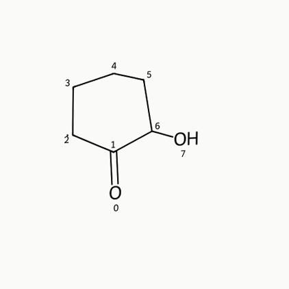 O=C1[CH]CCCC1O